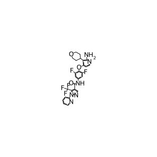 Nc1nccc(Oc2c(F)cc(NC(=O)c3cnn(-c4ccccn4)c3C(F)(F)F)cc2F)c1C1CCOCC1